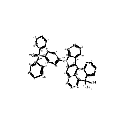 CC1(C)c2ccccc2-c2c3c1cccc3cc1c2c2ccccc2n1-c1ccc(P(=O)(c2ccccc2)c2ccccc2)cc1